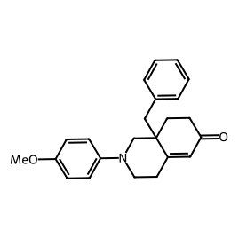 COc1ccc(N2CCC3=CC(=O)CCC3(Cc3ccccc3)C2)cc1